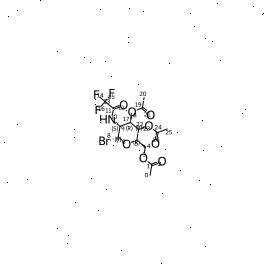 CC(=O)OC[C@H]1O[C@H](Br)[C@@H](NC(=O)C(F)(F)F)[C@@H](OC(C)=O)[C@H]1OC(C)=O